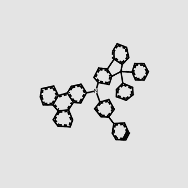 c1ccc(-c2ccc(N(c3ccc4c(c3)C(c3ccccc3)(c3ccccc3)c3ccccc3-4)c3ccc4c5ccccc5c5ccccc5c4c3)cc2)cc#1